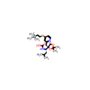 CC(C)C[C@H](NC(=O)O)[C@@]1(Cc2cc(SCC[Si](C)(C)C)ccn2)OC(C)(C)OC1=O